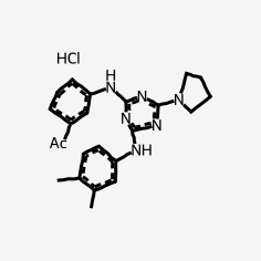 CC(=O)c1cccc(Nc2nc(Nc3ccc(C)c(C)c3)nc(N3CCCC3)n2)c1.Cl